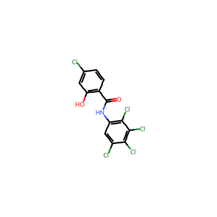 O=C(Nc1cc(Cl)c(Cl)c(Cl)c1Cl)c1ccc(Cl)cc1O